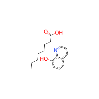 CCCCCCCC(=O)O.Oc1cccc2cccnc12